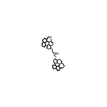 C1=CC2=C(CC=C3C=PC=c4ccc5ccccc5c4=C32)[C@@H](CCNCC[C@H]2CC=CC3=C2CC=C2C=PC=c4ccc5ccccc5c4=C23)C1